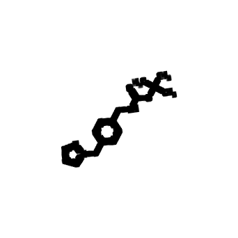 CC(C)(C)OC(=O)NCc1ccc(Cn2cccn2)cc1